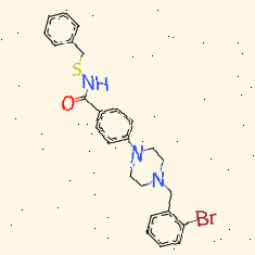 O=C(NSCc1ccccc1)c1ccc(N2CCN(Cc3ccccc3Br)CC2)cc1